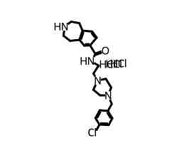 Cl.Cl.Cl.O=C(NCCN1CCN(Cc2ccc(Cl)cc2)CC1)c1ccc2c(c1)CCNCC2